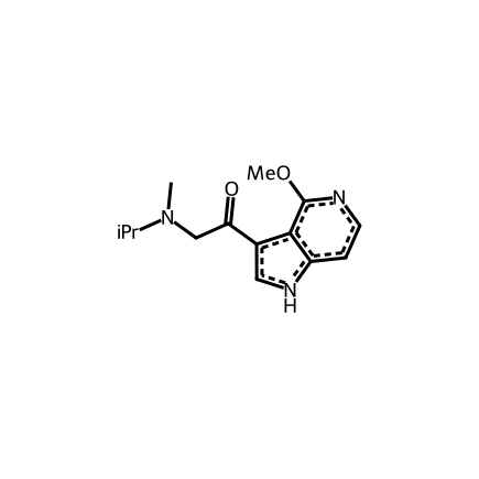 COc1nccc2[nH]cc(C(=O)CN(C)C(C)C)c12